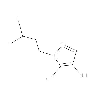 Nc1cnn(CCC(F)F)c1Cl